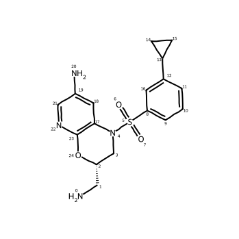 NC[C@H]1CN(S(=O)(=O)c2cccc(C3CC3)c2)c2cc(N)cnc2O1